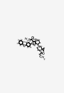 C=CC(=O)N1CCN([C@@H]2CCNc3c2nn(-c2ccc(Oc4ccccc4)cc2)c3C(N)=O)CC12CC2